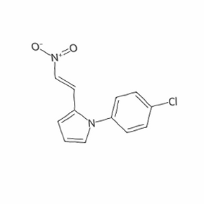 O=[N+]([O-])C=Cc1cccn1-c1ccc(Cl)cc1